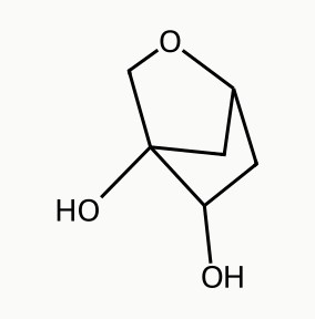 OC1CC2CC1(O)CO2